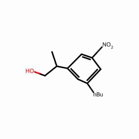 CCCCc1cc([C](C)CO)cc([N+](=O)[O-])c1